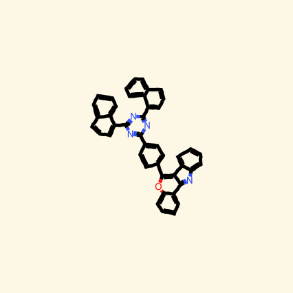 c1ccc2c(-c3nc(-c4ccc(-c5oc6ccccc6c6nc7ccccc7c5-6)cc4)nc(-c4cccc5ccccc45)n3)cccc2c1